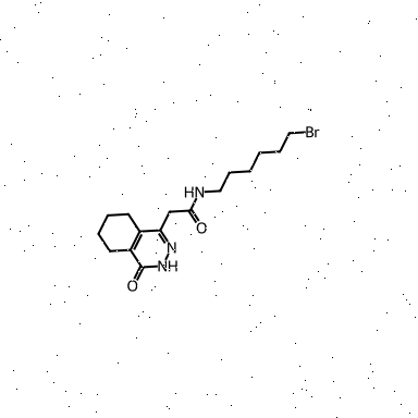 O=C(Cc1n[nH]c(=O)c2c1CCCC2)NCCCCCCBr